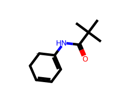 CC(C)(C)C(=O)NC1=CC=CC[CH]1